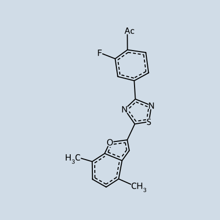 CC(=O)c1ccc(-c2nsc(-c3cc4c(C)ccc(C)c4o3)n2)cc1F